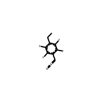 CCc1c(F)c(F)c(C=[N+]=[N-])c(F)c1F